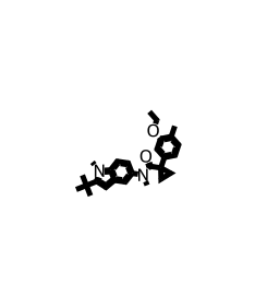 CCOc1cc(C2(C(=O)N(C)c3ccc4c(c3)cc(C(C)(C)C)n4C)CC2)ccc1C